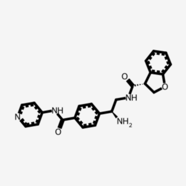 N[C@H](CNC(=O)[C@H]1COc2ccccc21)c1ccc(C(=O)Nc2ccncc2)cc1